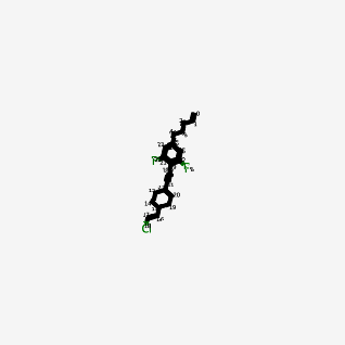 C=CCCCc1cc(F)c(C#CC2CCC(/C=C/Cl)CC2)c(F)c1